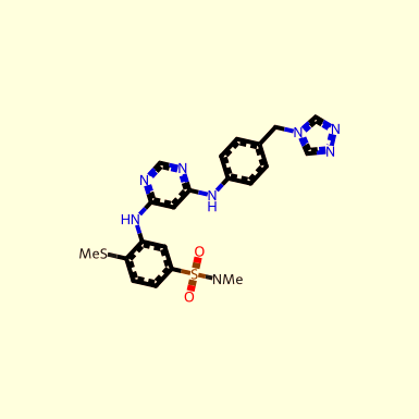 CNS(=O)(=O)c1ccc(SC)c(Nc2cc(Nc3ccc(Cn4cnnc4)cc3)ncn2)c1